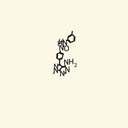 Cc1cccc(NC(=O)Nc2ccc(-c3nn(C)c4ncnc(N)c34)cc2)c1